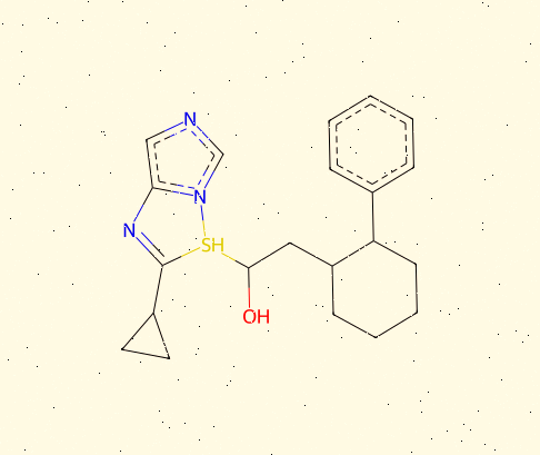 OC(CC1CCCCC1c1ccccc1)[SH]1C(C2CC2)=Nc2cncn21